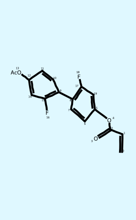 C=CC(=O)Oc1ccc(-c2ccc(OC(C)=O)cc2F)c(F)c1